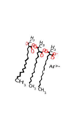 CCCCCCCCCCCCCCC(C(C)=O)C(=O)[O-].CCCCCCCCCCCCCCC(C(C)=O)C(=O)[O-].CCCCCCCCCCCCCCC(C(C)=O)C(=O)[O-].[Al+3]